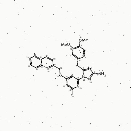 COc1ccc(Cc2nc(N)nn2-c2cc(OCc3ccc4ccccc4n3)nc(C)n2)cc1OC